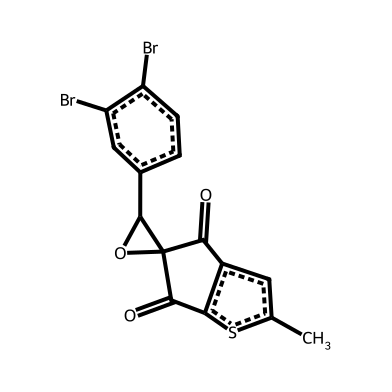 Cc1cc2c(s1)C(=O)C1(OC1c1ccc(Br)c(Br)c1)C2=O